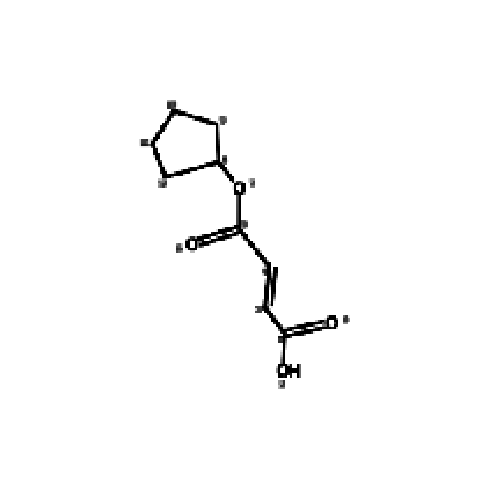 O=C(O)C=CC(=O)OC1CCCC1